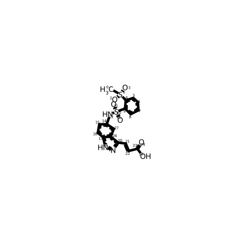 CS(=O)(=O)c1ccccc1S(=O)(=O)Nc1ccc2[nH]nc(C=CC(=O)O)c2c1